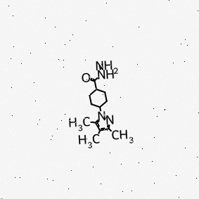 Cc1nn(C2CCC(C(=O)NN)CC2)c(C)c1C